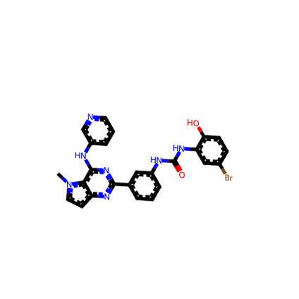 Cn1ccc2nc(-c3cccc(NC(=O)Nc4cc(Br)ccc4O)c3)nc(Nc3cccnc3)c21